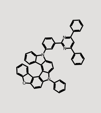 c1ccc(-c2cc(-c3ccccc3)nc(-c3cccc(-n4c5ccccc5c5c6c7c8c(ccc7n(-c7ccccc7)c6ccc54)oc4ccccc48)c3)n2)cc1